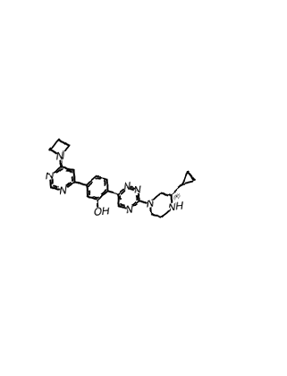 Oc1cc(-c2cc(N3CCC3)ncn2)ccc1-c1cnc(N2CCN[C@H](C3CC3)C2)nn1